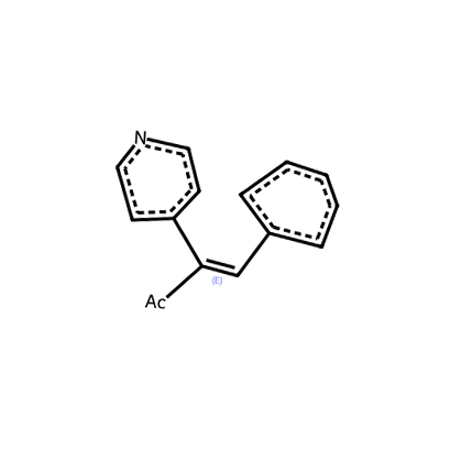 CC(=O)/C(=C/c1ccccc1)c1ccncc1